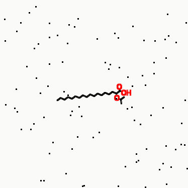 CCCCCCCCCCCCCCCCC(OC(C)C)C(=O)O